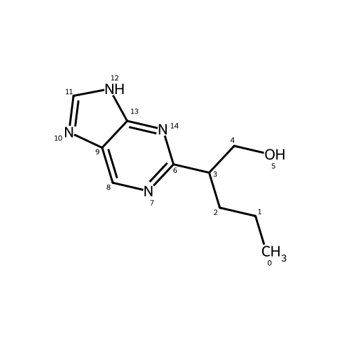 CCCC(CO)c1ncc2nc[nH]c2n1